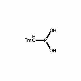 OP(O)O.[Tm]